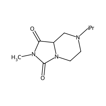 CC(C)N1CCN2C(=O)N(C)C(=O)C2C1